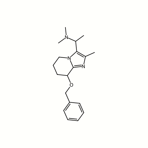 Cc1nc2n(c1C(C)N(C)C)CCCC2OCc1ccccc1